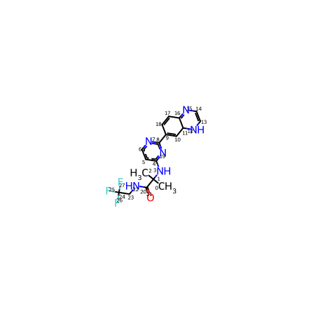 CC(C)(Nc1ccnc(C2=CC3NC=CN=C3C=C2)n1)C(=O)NCC(F)(F)F